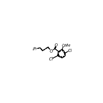 COc1c(Cl)ccc(Cl)c1C(=O)OCCCC(C)C